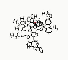 C=CCO[C@H]1C(C2=NC(=O)N=C3N=CC=C32)O[C@H](COC(c2ccccc2)(c2ccc(OC)cc2)c2ccc(OC)cc2C)[C@@H]1OP(OC)N(C(C)C)C(C)C